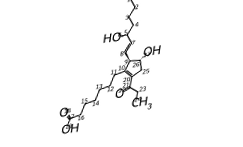 CCCCC[C@H](O)C=C[C@@H]1C(CCCCCCC(=O)O)=C(C(=O)CC)C[C@H]1O